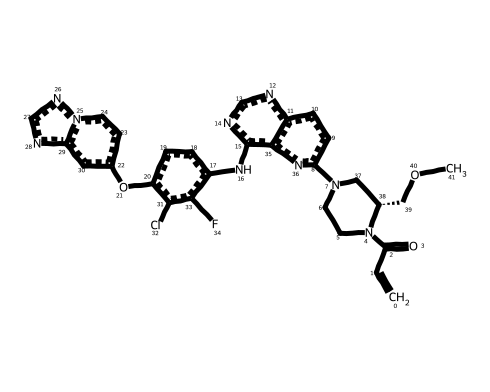 C=CC(=O)N1CCN(c2ccc3ncnc(Nc4ccc(Oc5ccn6ncnc6c5)c(Cl)c4F)c3n2)C[C@@H]1COC